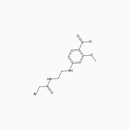 COc1cc(NCCNC(=O)CBr)ccc1[N+](=O)[O-]